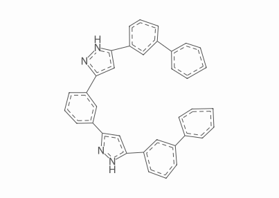 c1ccc(-c2cccc(-c3cc(-c4cccc(-c5cc(-c6cccc(-c7ccccc7)c6)[nH]n5)c4)n[nH]3)c2)cc1